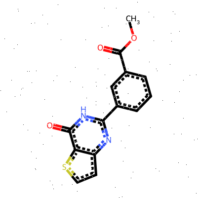 COC(=O)c1cccc(-c2nc3ccsc3c(=O)[nH]2)c1